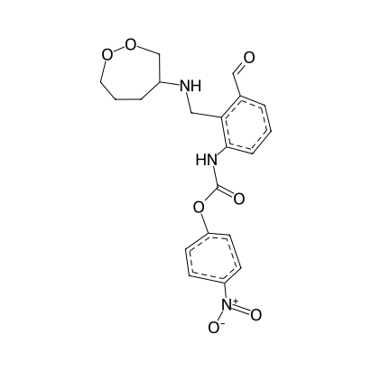 O=Cc1cccc(NC(=O)Oc2ccc([N+](=O)[O-])cc2)c1CNC1CCCOOC1